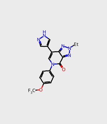 CCn1nc2c(-c3cn[nH]c3)cn(-c3ccc(OC(F)(F)F)cc3)c(=O)c2n1